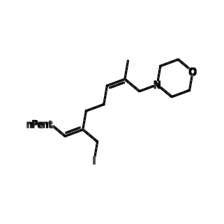 CCCCC/C=C(/CI)CC/C=C(/C)CN1CCOCC1